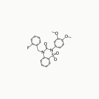 COc1ccc(N2C(=O)N(Cc3ccccc3F)c3ccccc3S2(=O)=O)cc1OC